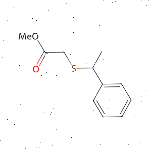 COC(=O)CSC(C)c1ccccc1